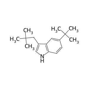 CC(C)(C)Cc1c[nH]c2ccc(C(C)(C)C)cc12